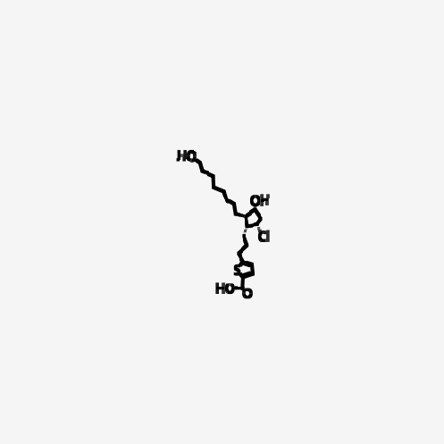 O=C(O)c1ccc(CCC[C@@H]2[C@@H](CCCCCCCCO)[C@H](O)C[C@@H]2Cl)s1